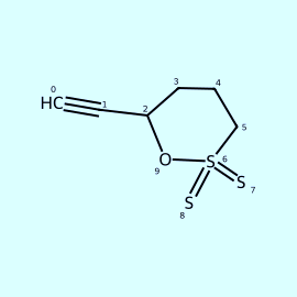 C#CC1CCCS(=S)(=S)O1